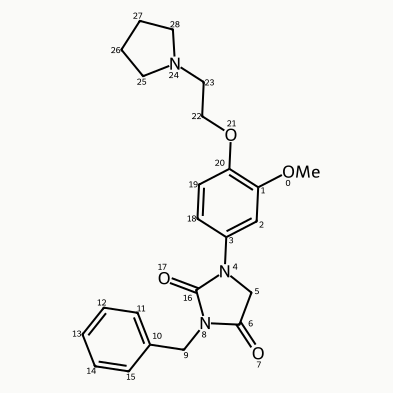 COc1cc(N2CC(=O)N(Cc3ccccc3)C2=O)ccc1OCCN1CCCC1